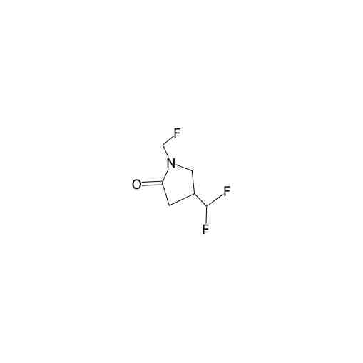 O=C1CC(C(F)F)CN1CF